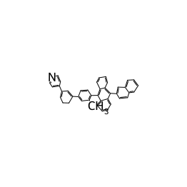 Cc1cc(C2=CC(c3ccncc3)=CCC2)ccc1-c1c2ccccc2c(-c2ccc3ccccc3c2)c2ccccc12